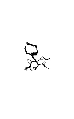 CCOC([SiH3])C(OCC)(OCC)c1ccncc1